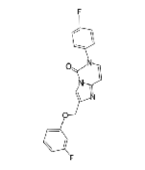 O=c1n(-c2ccc(F)cc2)ccc2nc(COc3cccc(F)c3)cn12